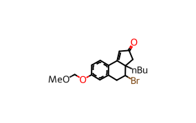 CCCCC12CC(=O)C=C1c1ccc(OCOC)cc1CC2Br